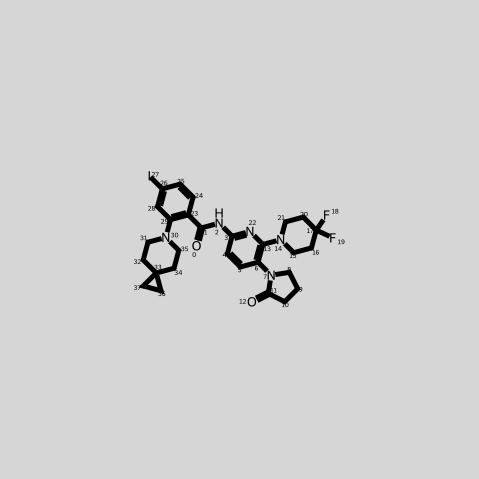 O=C(Nc1ccc(N2CCCC2=O)c(N2CCC(F)(F)CC2)n1)c1ccc(I)cc1N1CCC2(CC1)CC2